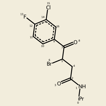 CC(C)NC(=O)CC(Br)C(=O)c1ccc(F)c(Cl)c1